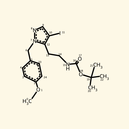 COc1ccc(Cn2ncc(I)c2CCNC(=O)OC(C)(C)C)cc1